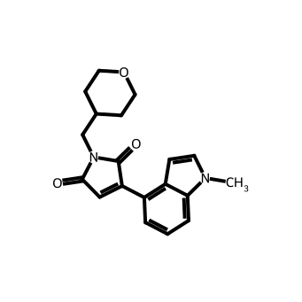 Cn1ccc2c(C3=CC(=O)N(CC4CCOCC4)C3=O)cccc21